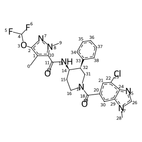 Cc1c(OC(F)F)nn(C)c1C(=O)N[C@@H]1CCN(C(=O)c2cc(Cl)c3ncn(C)c3c2)C[C@@H]1c1ccccc1